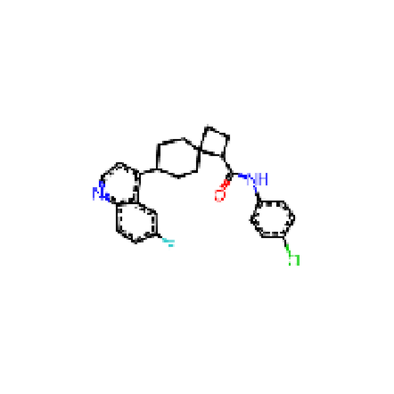 O=C(Nc1ccc(Cl)cc1)C1CCC12CCC(c1ccnc3ccc(F)cc13)CC2